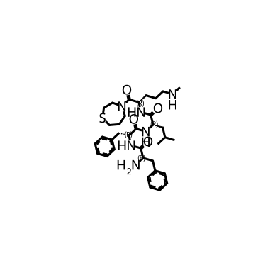 CNCCC[C@@H](NC(=O)[C@@H](CC(C)C)NC(=O)[C@@H](Cc1ccccc1)NC(=O)[C@H](N)Cc1ccccc1)C(=O)N1CCCSCC1